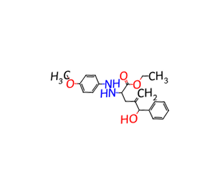 C=C(CC(NNc1ccc(OC)cc1)C(=O)OCC)C(O)c1ccccc1